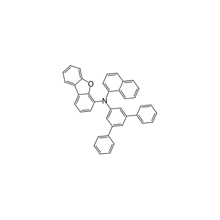 c1ccc(-c2cc(-c3ccccc3)cc(N(c3cccc4ccccc34)c3cccc4c3oc3ccccc34)c2)cc1